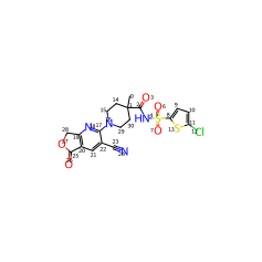 CC1(C(=O)NS(=O)(=O)c2ccc(Cl)s2)CCN(c2nc3c(cc2C#N)C(=O)OC3)CC1